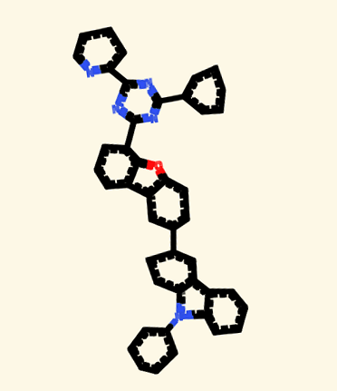 c1ccc(-c2nc(-c3ccccn3)nc(-c3cccc4c3oc3ccc(-c5ccc6c(c5)c5ccccc5n6-c5ccccc5)cc34)n2)cc1